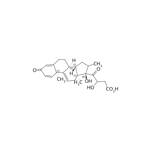 CC1C[C@H]2[C@@H]3CCC4=CC(=O)C=C[C@]4(C)C3=CC[C@]2(C)[C@@]1(O)C(=O)C(O)CC(=O)O